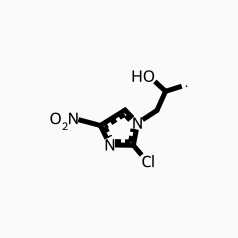 [CH2]C(O)Cn1cc([N+](=O)[O-])nc1Cl